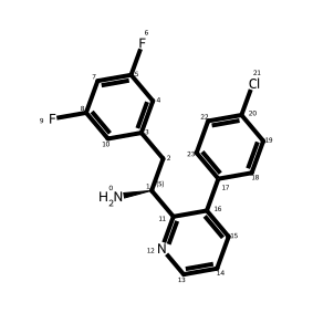 N[C@@H](Cc1cc(F)cc(F)c1)c1ncccc1-c1ccc(Cl)cc1